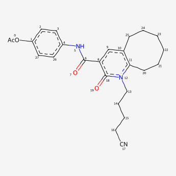 CC(=O)Oc1ccc(NC(=O)c2cc3c(n(CCCCC#N)c2=O)CCCCCC3)cc1